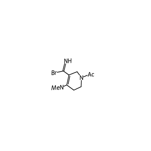 CNC1=C(C(=N)Br)CN(C(C)=O)CC1